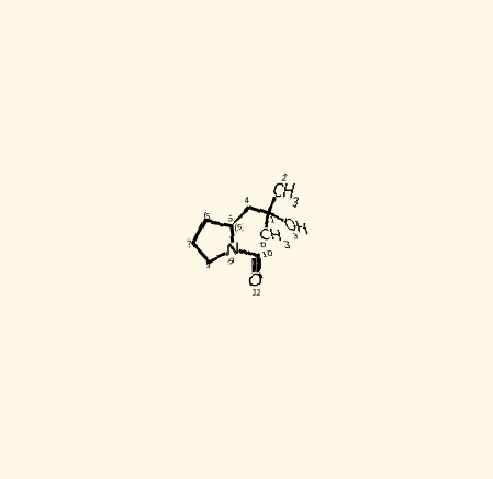 CC(C)(O)C[C@@H]1CCCN1C=O